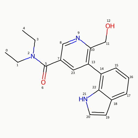 CCN(CC)C(=O)c1cnc(CO)c(-c2cccc3cc[nH]c23)c1